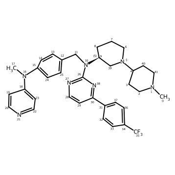 CN1CCC(N2CCC[C@H](N(Cc3ccc(N(C)c4ccncc4)cc3)c3nccc(-c4ccc(C(F)(F)F)cc4)n3)C2)CC1